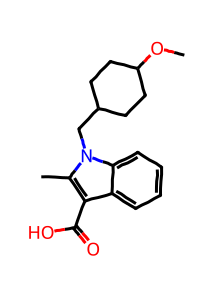 COC1CCC(Cn2c(C)c(C(=O)O)c3ccccc32)CC1